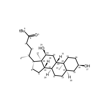 C[C@H](CCC(=O)C(C)(C)C)[C@H]1CC[C@H]2[C@@H]3CC[C@@H]4C[C@H](O)CC[C@]4(C)[C@H]3C[C@H](O)[C@]12C